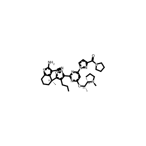 CCCc1c(-c2nc(O[C@@H](C)[C@@H]3CCCN3C)cc(-n3ccc(C(=O)N4CCCC4)n3)n2)noc1[C@@]1(C)CCCc2sc(N)c(C#N)c21